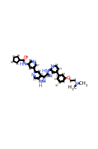 CN(C)CCOc1cc(F)cc(-c2ccnc3[nH]c(-c4n[nH]c5cnc(-c6cncc(NC(=O)C7CCCC7)c6)cc45)nc23)c1